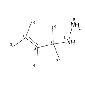 CC(C)=C(C)C(C)(C)NN